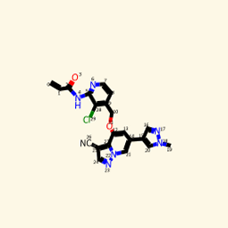 C=CC(=O)Nc1nccc(COc2cc(-c3cnn(C)c3)cn3ncc(C#N)c23)c1Cl